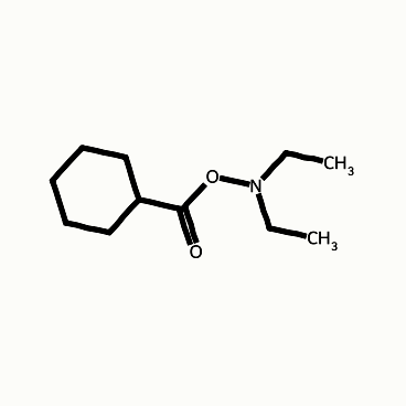 CCN(CC)OC(=O)C1CCCCC1